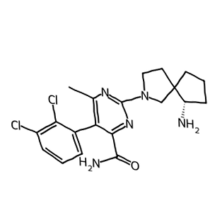 Cc1nc(N2CCC3(CCC[C@@H]3N)C2)nc(C(N)=O)c1-c1cccc(Cl)c1Cl